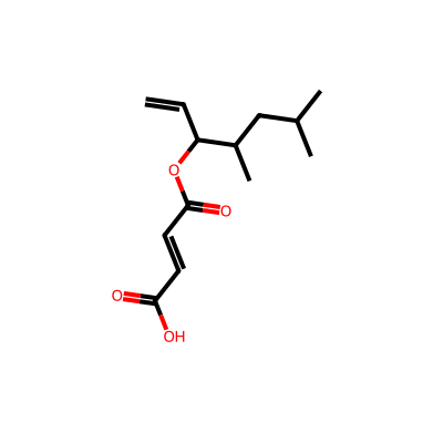 C=CC(OC(=O)C=CC(=O)O)C(C)CC(C)C